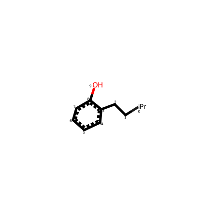 CC(C)CCc1[c]cccc1O